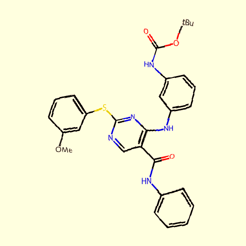 COc1cccc(Sc2ncc(C(=O)Nc3ccccc3)c(Nc3cccc(NC(=O)OC(C)(C)C)c3)n2)c1